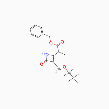 CC(C(=O)OCc1ccccc1)C1NC(=O)C1[C@@H](C)O[Si](C)(C)C(C)(C)C